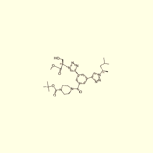 COC(=O)[C@@H](CO)n1cc(-c2cc(C(=O)N3CCN(C(=O)OC(C)(C)C)CC3)cc(-c3cn([C@H](C)CC(C)C)nn3)c2)nn1